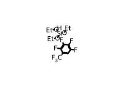 CCO[SiH](OCC)OCC.Fc1cc(C(F)(F)F)c(F)c(F)c1F